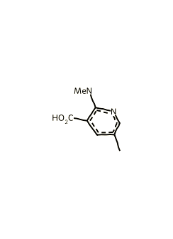 CNc1ncc(C)cc1C(=O)O